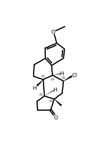 COc1ccc2c(c1)CC[C@@H]1[C@@H]2[C@@H](Cl)C[C@]2(C)C(=O)CC[C@@H]12